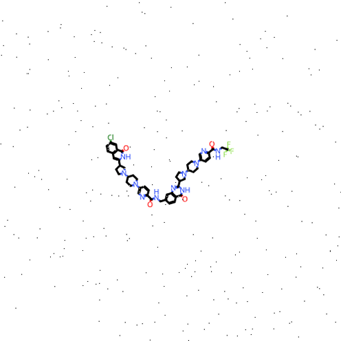 O=C(NCc1ccc2c(=O)[nH]c(C3CCN(C4CCN(c5ccc(C(=O)NCC(F)(F)F)nc5)CC4)C3)nc2c1)c1ccc(N2CCC(N3CCC(c4cc5ccc(Cl)cc5c(=O)[nH]4)C3)CC2)cn1